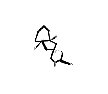 O=C1C[C@@]2(CN1)C[C@H]1CCCC[C@H]1C2